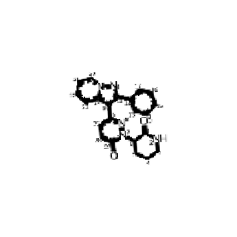 O=C1NCCCC1n1nc(-c2c(-c3ccccc3)nn3ccccc23)ccc1=O